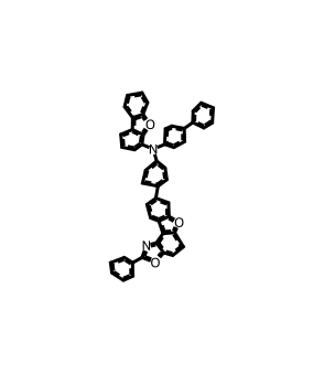 c1ccc(-c2ccc(N(c3ccc(-c4ccc5c(c4)oc4ccc6oc(-c7ccccc7)nc6c45)cc3)c3cccc4c3oc3ccccc34)cc2)cc1